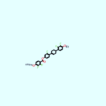 CCCCCCOc1ccc(C(=O)Oc2ccc(C3=CCC(c4ccc(OCC)c(F)c4F)CC3)c(F)c2)c(F)c1F